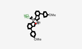 COc1ccc(-c2cccc3c2C=C(C(C)C)[CH]3[Hf]2([CH]3C(C(C)C)=Cc4c(-c5ccc(OC)cc5)cccc43)[CH2][CH2]2)cc1.Cl.Cl